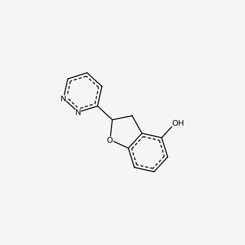 Oc1cccc2c1CC(c1cccnn1)O2